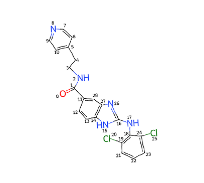 O=C(NCCc1ccncc1)c1ccc2[nH]c(Nc3c(Cl)cccc3Cl)nc2c1